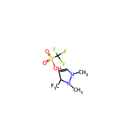 CN1C=CC(C(F)(F)F)N1C.O=S(=O)(O)C(F)(F)F